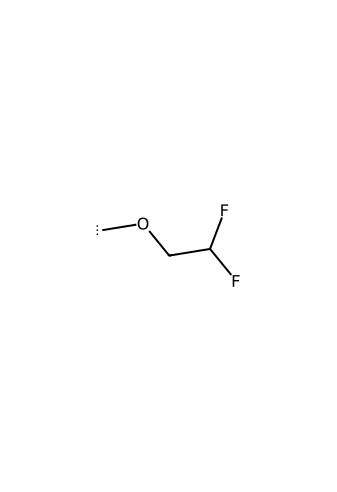 [C]OCC(F)F